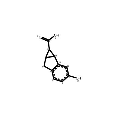 O=C(O)C1C2Cc3ccc(O)cc3C21